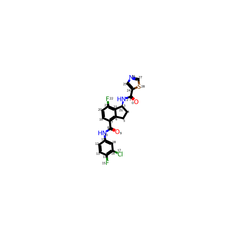 O=C(N[C@H]1CCc2c(C(=O)Nc3ccc(F)c(Cl)c3)ccc(F)c21)c1cncs1